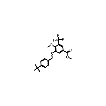 COC(=O)c1cc(SCc2ccc(C(C)(C)C)cc2)c(OC)c(C(F)(F)F)c1